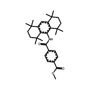 COC(=O)c1ccc(C(=O)Nc2c3c(cc4c2C(C)(C)CCC4(C)C)C(C)(C)CCC3(C)C)cc1